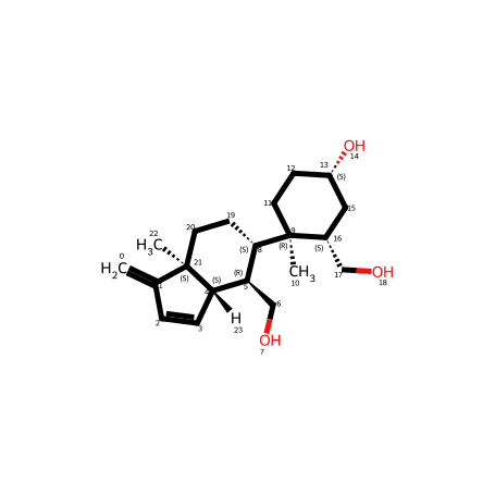 C=C1C=C[C@H]2[C@H](CO)[C@@H]([C@@]3(C)CC[C@H](O)C[C@@H]3CO)CC[C@]12C